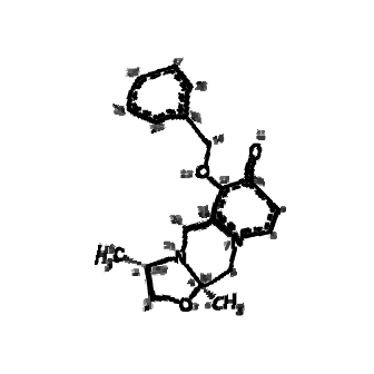 C[C@H]1CO[C@]2(C)Cn3ccc(=O)c(OCc4ccccc4)c3CN12